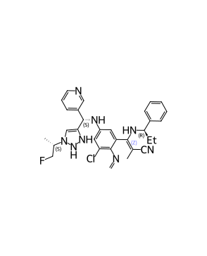 C=Nc1c(Cl)cc(N[C@H](C2=CN([C@@H](C)CF)NN2)c2cccnc2)cc1/C(N[C@H](CC)c1ccccc1)=C(\C)C#N